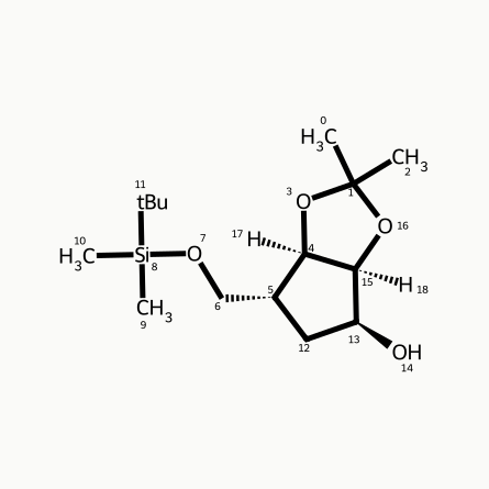 CC1(C)O[C@@H]2[C@@H](CO[Si](C)(C)C(C)(C)C)C[C@H](O)[C@@H]2O1